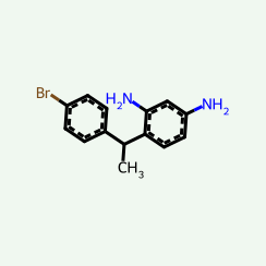 CC(c1ccc(Br)cc1)c1ccc(N)cc1N